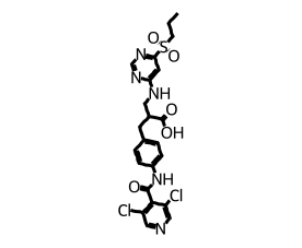 CCCS(=O)(=O)c1cc(NCC(Cc2ccc(NC(=O)c3c(Cl)cncc3Cl)cc2)C(=O)O)ncn1